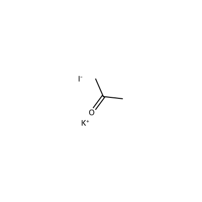 CC(C)=O.[I-].[K+]